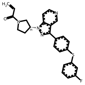 C=CC(=O)N1CC[C@@H](n2nc(-c3ccc(Sc4cccc(F)c4)cc3)c3cnccc32)C1